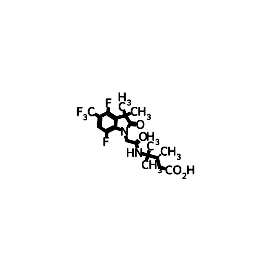 C[C@H](CC(=O)O)C(C)(C)NC(=O)CN1C(=O)C(C)(C)c2c(F)c(C(F)(F)F)cc(F)c21